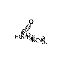 CCOC(=O)N1CCC(NC(=O)O[C@@H]2CC[C@H](C(=O)N3CCN(c4ccccc4)CC3)[C@@H](C(=O)NO)C2)CC1